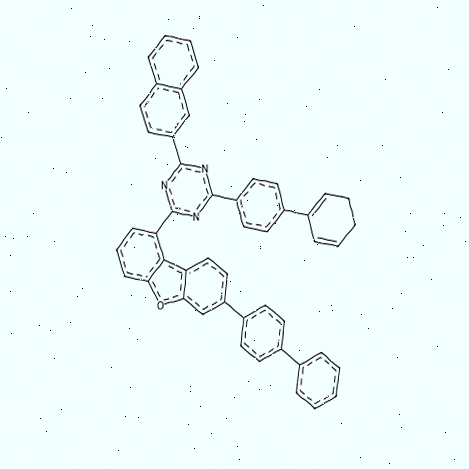 C1=CC(c2ccc(-c3nc(-c4ccc5ccccc5c4)nc(-c4cccc5oc6cc(-c7ccc(-c8ccccc8)cc7)ccc6c45)n3)cc2)=CCC1